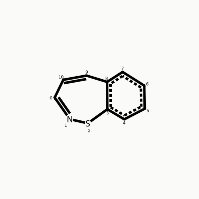 [C]1=NSc2ccccc2C=C1